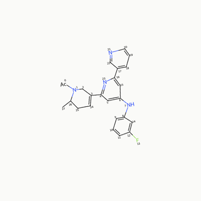 CC(=O)N1CC(c2cc(Nc3cccc(F)c3)cc(-c3cccnc3)n2)=CCC1C